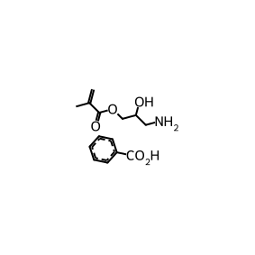 C=C(C)C(=O)OCC(O)CN.O=C(O)c1ccccc1